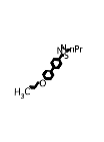 CC=CCOc1ccc(-c2ccc(-c3nnc(CCC)s3)cc2)cc1